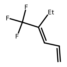 C=C/C=C(\CC)C(F)(F)F